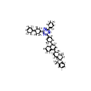 CC1(C)c2ccccc2-c2ccc3cc(-c4ccc(-c5ccc(-c6nc(-c7ccccc7)nc(-c7ccc(-c8ccccc8)cc7)n6)cc5)c5ccccc45)ccc3c21